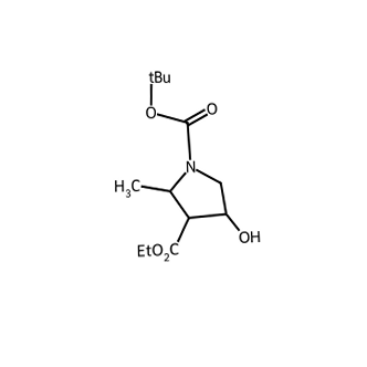 CCOC(=O)C1C(O)CN(C(=O)OC(C)(C)C)C1C